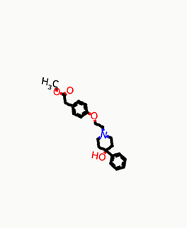 COC(=O)Cc1ccc(OCCN2CCC(O)(c3ccccc3)CC2)cc1